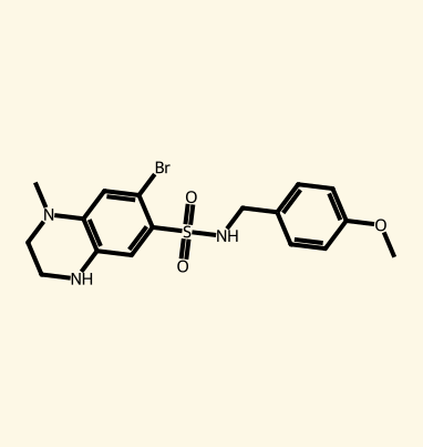 COc1ccc(CNS(=O)(=O)c2cc3c(cc2Br)N(C)CCN3)cc1